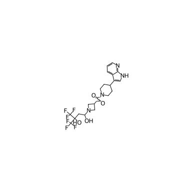 O=S(=O)(C1CN(C(O)CC(O)(C(F)(F)F)C(F)(F)F)C1)N1CCC(c2c[nH]c3ncccc23)CC1